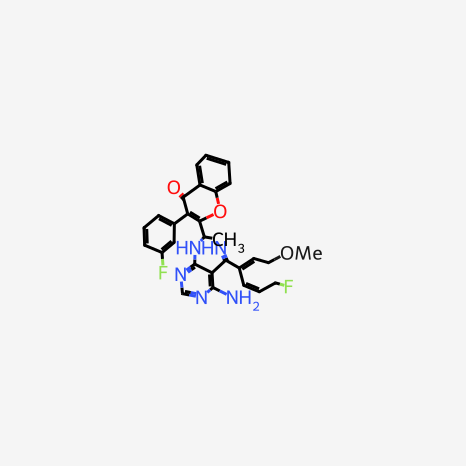 COC/C=C(\C=C/CF)C(=N)c1c(N)ncnc1NC(C)c1oc2ccccc2c(=O)c1-c1cccc(F)c1